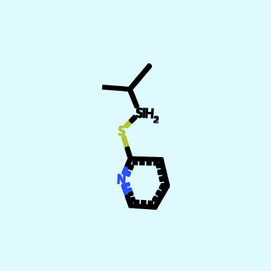 CC(C)[SiH2]Sc1ccccn1